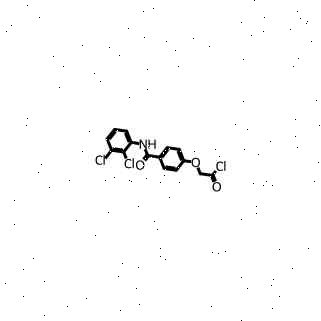 O=C(Cl)COc1ccc(C(=O)Nc2cccc(Cl)c2Cl)cc1